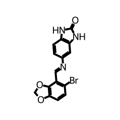 O=c1[nH]c2ccc(/N=C/c3c(Br)ccc4c3OCO4)cc2[nH]1